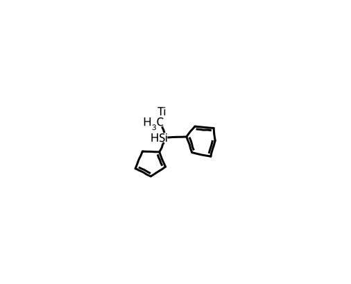 C[SiH](C1=CC=CC1)c1ccccc1.[Ti]